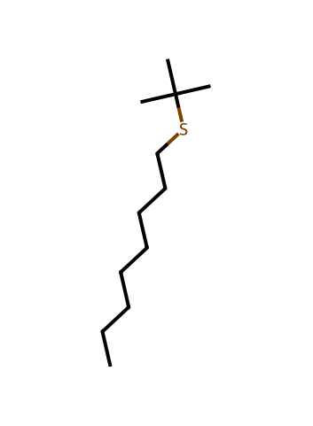 CCCCCCCCSC(C)(C)C